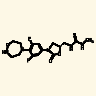 CNC(=S)NC[C@H]1CN(c2cc(F)c(N3CCNOCC3)c(F)c2)C(=O)O1